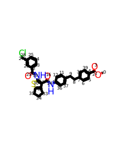 COC(=O)c1ccc(CCc2ccc(NC(=O)c3c(NC(=O)c4cccc(CCl)c4)sc4c3CCC4)cc2)cc1